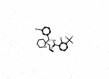 C=CC[C@]1([C@@H](NC(=O)c2cccc(C(F)(F)F)c2Cl)c2cccc(Br)c2)CCCCN1